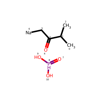 CC(C)C(=O)[CH2][Na].O=[PH](O)O